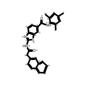 Cc1cc(C)c(NC(=O)c2ccc3nc(NC(=O)Cc4ccc5ccccc5c4)sc3c2)c(C)c1